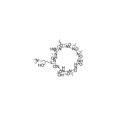 C/C=C/C[C@@H](C)[C@@H](O)[C@H]1C(=O)N[C@@H](CC)C(=O)N(C)[C@H](CSCC[C@@H](CO)CCCN(CC)CC)C(=O)N(C)[C@@H](CC(C)(C)O)C(=O)N[C@@H](C(C)C)C(=O)N(C)[C@@H](CC(C)C)C(=O)N[C@@H](C)C(=O)N[C@H](C)C(=O)N(C)[C@@H](CC(C)C)C(=O)N(C)[C@@H](CC(C)C)C(=O)N(C)[C@@H](C(C)C)C(=O)N1C